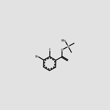 C=C(O[Si](C)(C)C(C)(C)C)c1cccc(Br)c1F